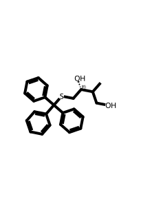 CC(CO)[C@@H](O)CSC(c1ccccc1)(c1ccccc1)c1ccccc1